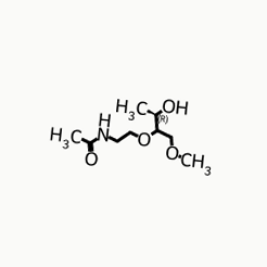 COCC(OCCNC(C)=O)[C@@H](C)O